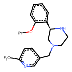 CC(C)Oc1ccccc1[C@@H]1CN(Cc2ccc(C(F)(F)F)nc2)CCN1